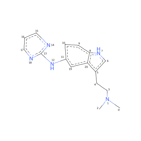 CN(C)CCc1c[nH]c2ccc(Nc3ncccn3)cc12